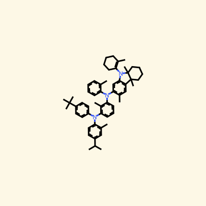 CC1=C(N2c3cc(N(c4ccccc4C)c4cccc(N(c5ccc(C(C)(C)C)cc5)c5ccc(C(C)C)cc5C)c4C)c(C)cc3C3(C)CCCCC23C)CCCC1